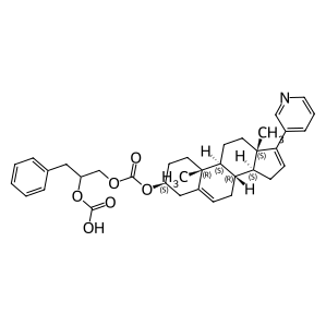 C[C@]12CC[C@H](OC(=O)OCC(Cc3ccccc3)OC(=O)O)CC1=CC[C@@H]1[C@@H]2CC[C@]2(C)C(c3cccnc3)=CC[C@@H]12